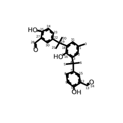 Cc1cc(C(C)(C)c2ccc(O)c(C=O)c2)c(O)c(C(C)(C)c2ccc(O)c(C=O)c2)c1